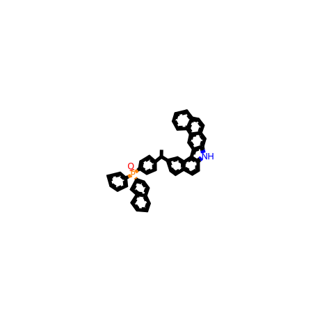 CC(c1ccc(P(=O)(c2ccccc2)c2ccc3ccccc3c2)cc1)c1ccc2ccc3[nH]c4cc5ccc6ccccc6c5cc4c3c2c1